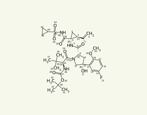 C=C[C@@H]1C[C@]1(NC(=O)[C@@H]1C[C@@](O)(c2cc(F)ccc2OC)CN1C(=O)[C@@H](NC(=O)OC(C)(C)C)C(C)(C)C)C(=O)NS(=O)(=O)C1CC1